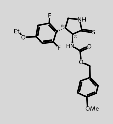 CCOc1cc(F)c([C@@H]2CNC(=S)[C@H]2NC(=O)OCc2ccc(OC)cc2)c(F)c1